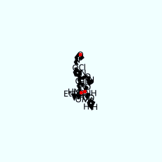 CC[C@@H]1C[C@]1(NC(=O)[C@@H]1C[C@@H](Oc2cc(Oc3ncc[nH]3)nc3c(Cl)c(OCCN4CCOCC4)ccc23)CN1C(=O)[C@@H](NC(=O)O[C@@H]1C[C@@H]2C[C@@H]2C1)C(C)(C)C)C(=O)OC